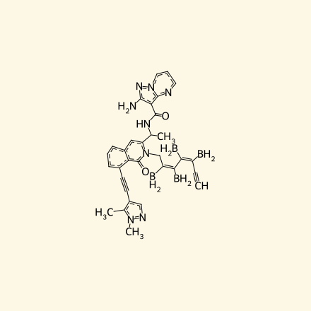 B/C(C#C)=C(B)/C(B)=C(/B)Cn1c(C(C)NC(=O)c2c(N)nn3cccnc23)cc2cccc(C#Cc3cnn(C)c3C)c2c1=O